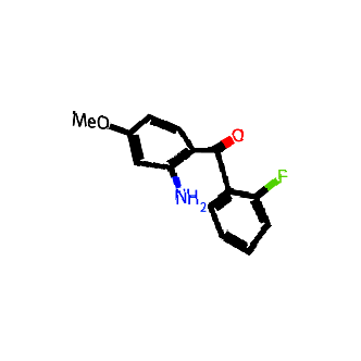 COc1ccc(C(=O)c2ccccc2F)c(N)c1